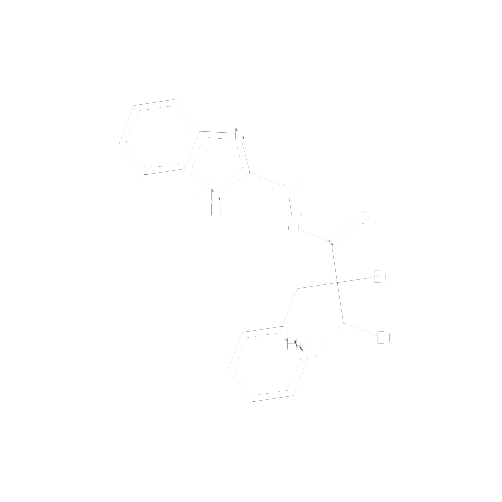 CCC(C(=O)O)C(CC)(Cc1ccccc1)C(=O)OSc1nc2ccccc2[nH]1